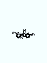 CC(C)c1ccc2c(c1)[nH]c1c3nc(C(C)C)ccc3oc21